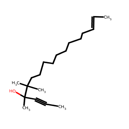 CC#CC(C)(O)C(C)(C)CCCCCCCCCC=CC